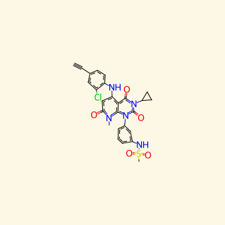 C#Cc1ccc(Nc2cc(=O)n(C)c3c2c(=O)n(C2CC2)c(=O)n3-c2cccc(NS(C)(=O)=O)c2)c(Cl)c1